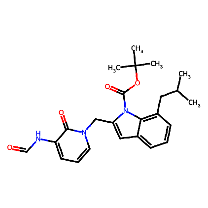 CC(C)Cc1cccc2cc(Cn3cccc(NC=O)c3=O)n(C(=O)OC(C)(C)C)c12